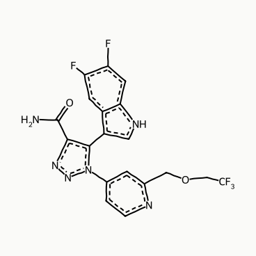 NC(=O)c1nnn(-c2ccnc(COCC(F)(F)F)c2)c1-c1c[nH]c2cc(F)c(F)cc12